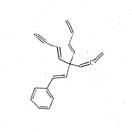 C=C=CC(C=CC#N)(C=CC=C)C=Cc1ccccc1